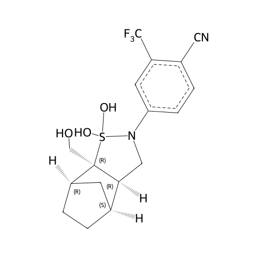 N#Cc1ccc(N2C[C@H]3[C@H]4CC[C@H](C4)[C@@]3(CO)S2(O)O)cc1C(F)(F)F